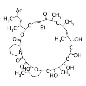 CC/C1=C\CC(/C(C)=C/C(C)C(C)=O)OC(=O)C2CCCCN2C(=O)C(=O)C2(O)OC(CCC2C)CC(O)C(C)C(O)C[C@H](O)CC(O)/C(C)=C/C(C)CC(C)C1=O